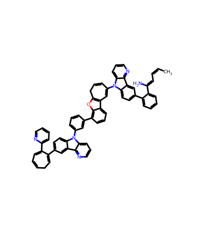 C/C=C\C=C(/N)c1ccccc1-c1ccc2c(c1)c1ncccc1n2C1=Cc2c(oc3c(-c4cccc(-n5c6ccc(C7=CCC=CC=C7c7ccccn7)cc6c6ncccc65)c4)cccc23)CC=C1